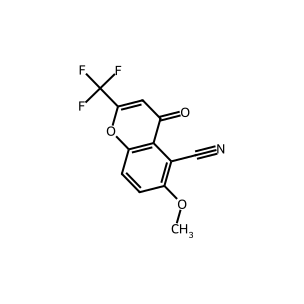 COc1ccc2oc(C(F)(F)F)cc(=O)c2c1C#N